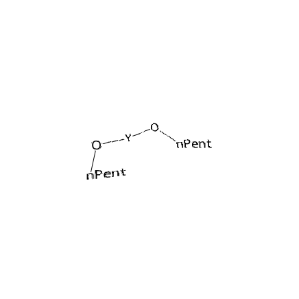 CCCCC[O][Y][O]CCCCC